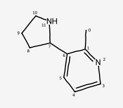 Cc1ncccc1C1CCCN1